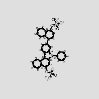 O=S(=O)(Oc1ccc(-c2ccc3c4c5ccccc5c(OS(=O)(=O)C(F)(F)F)cc4n(-c4ccccc4)c3c2)c2ccccc12)C(F)(F)F